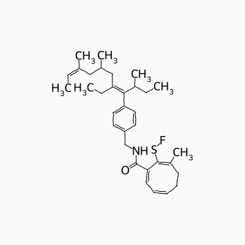 C/C=C(/C)CC(C)C/C(CC)=C(/c1ccc(CNC(=O)C2=C/C=C\CC/C(C)=C\2SF)cc1)C(C)CC